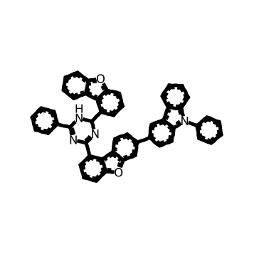 c1ccc(C2=NC(c3cccc4oc5cc(-c6ccc7c(c6)c6ccccc6n7-c6ccccc6)ccc5c34)=NC(c3cccc4oc5ccccc5c34)N2)cc1